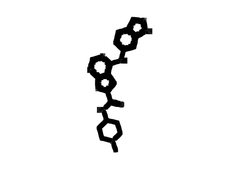 CN1CCC(NC(=O)c2cc3c(Nc4ccc5cn[nH]c5c4)ncnc3s2)CC1